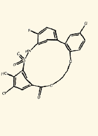 O=C1OCCOc2ccc(Cl)cc2-c2ccc(F)c(c2)NS(=O)(=O)c2cc1cc(Cl)c2O